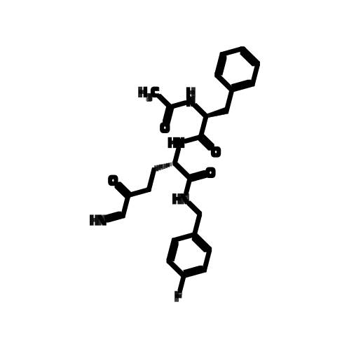 CC(=O)N[C@@H](Cc1ccccc1)C(=O)N[C@@H](CCC(=O)C=N)C(=O)NCc1ccc(F)cc1